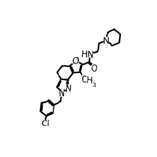 Cc1c(C(=O)NCCN2CCCCC2)oc2c1-c1nn(Cc3cccc(Cl)c3)cc1CC2